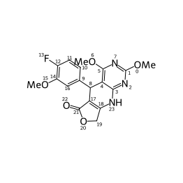 COc1nc2c(c(OC)n1)C(c1ccc(F)c(OC)c1)C1=C(COC1=O)N2